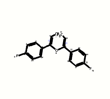 Fc1ccc(/C(=C/C(F)(F)F)O/C(=C\C(F)(F)F)c2ccc(F)cc2)cc1